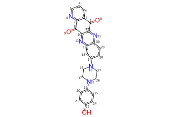 O=C1c2cccnc2C(=O)c2nc3cc(N4CCN(c5ccc(O)cc5)CC4)ccc3nc21